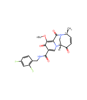 CCCCOc1c2n(cc(C(=O)NCc3ccc(F)cc3F)c1=O)[C@@H]1CN(C2=O)[C@@H](C)C=CC1=O